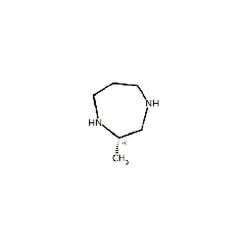 C[C@H]1CNCCCN1